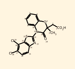 CC1(CC(=O)O)Oc2ccccc2N(c2nc3ccc(Cl)c(Cl)c3s2)C1=O